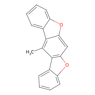 Cc1c2c(cc3oc4ccccc4c13)oc1ccccc12